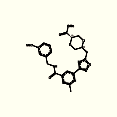 COC(=O)[C@@H]1CO[C@@H](Cn2nnc(-c3cc(C(=O)NCc4cccc(OC)c4)nc(C)n3)n2)CO1